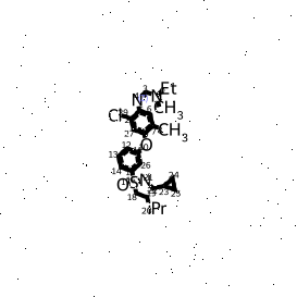 CCN(C)/C=N\c1cc(C)c(Oc2cccc(S(=O)(CCC(C)C)=NCC3CC3)c2)cc1Cl